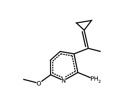 COc1ccc(C(C)=C2CC2)c(P)n1